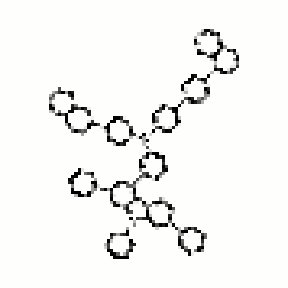 c1ccc(-c2ccc3c4c(-c5cccc(N(c6ccc(-c7ccc(-c8cccc9ccccc89)cc7)cc6)c6ccc(-c7ccc8ccccc8c7)cc6)c5)cc(-c5ccccc5)cc4n(-c4ccccc4)c3c2)cc1